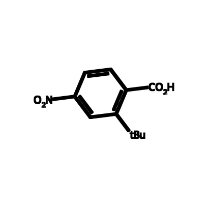 CC(C)(C)c1cc([N+](=O)[O-])ccc1C(=O)O